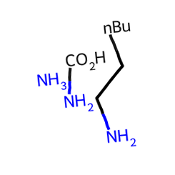 CCCCCCN.N.NC(=O)O